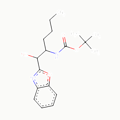 CCCCC(NC(=O)OC(C)(C)C)C(O)c1nc2ccccc2o1